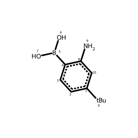 CC(C)(C)c1ccc(B(O)O)c(N)c1